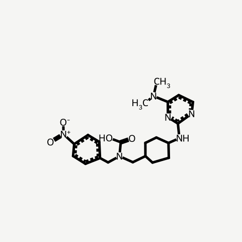 CN(C)c1ccnc(NC2CCC(CN(Cc3ccc([N+](=O)[O-])cc3)C(=O)O)CC2)n1